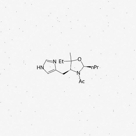 CCC[C@@H]1OC(C)(CC)[C@H](Cc2c[nH]cn2)N1C(C)=O